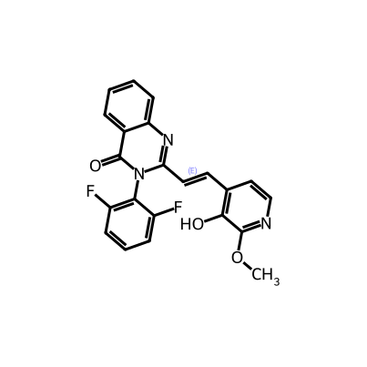 COc1nccc(/C=C/c2nc3ccccc3c(=O)n2-c2c(F)cccc2F)c1O